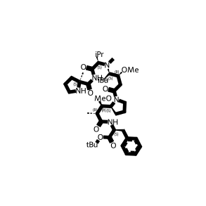 CC[C@H](C)[C@@H]([C@@H](CC(=O)N1CCC[C@H]1[C@H](OC)[C@@H](C)C(=O)N[C@@H](Cc1ccccc1)C(=O)OC(C)(C)C)OC)N(C)[C@H](C(=O)NC(=O)[C@]1(C)CCCN1)C(C)C